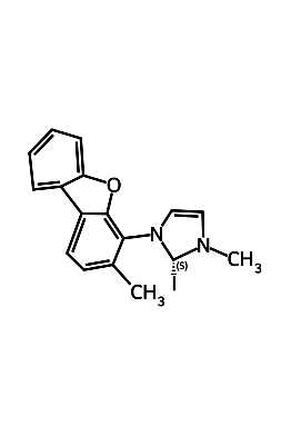 Cc1ccc2c(oc3ccccc32)c1N1C=CN(C)[C@@H]1I